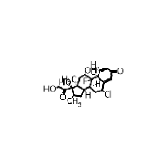 C[C@@H]1C[C@H]2[C@@H]3C[C@H](Cl)C4=CC(=O)C=C[C@]4(C)[C@@]3(F)[C@@H](O)C[C@]2(C)[C@@]1(O)C(=O)CO